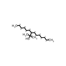 CCCCCCCC(CCCCCC)C(C)(C)S